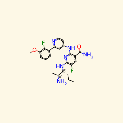 CCC[C@@H](Nc1nc(Nc2ccnc(-c3cccc(OC)c3F)c2)c(C(N)=O)cc1F)[C@H](C)N